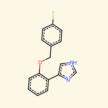 Fc1ccc(COc2ccccc2-c2c[nH]cn2)cc1